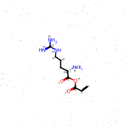 C=CC(=O)OC(=O)[C@@H](N)CCCNC(=N)N